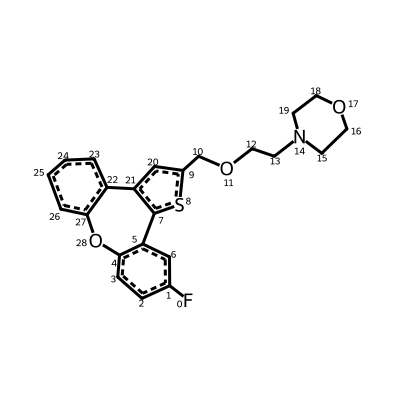 Fc1ccc2c(c1)-c1sc(COCCN3CCOCC3)cc1-c1ccccc1O2